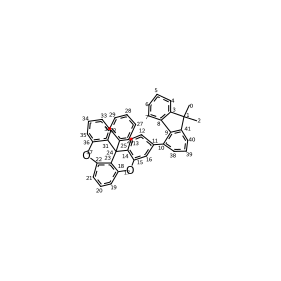 CC1(C)c2ccccc2-c2c(-c3ccc4c(c3)Oc3cccc5c3C4(c3ccccc3)c3ccccc3O5)cccc21